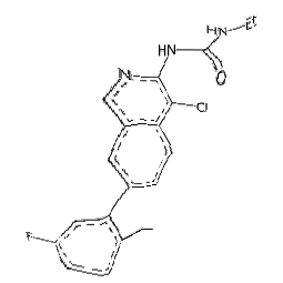 CCNC(=O)Nc1ncc2cc(-c3cc(F)ccc3C)ccc2c1Cl